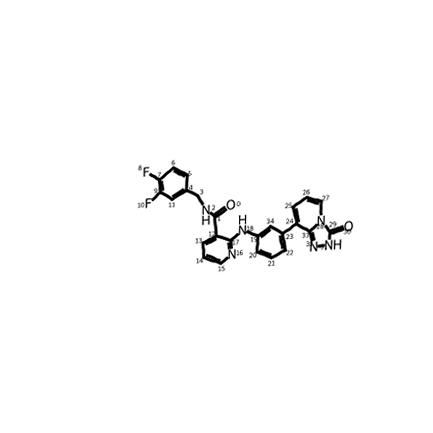 O=C(NCc1ccc(F)c(F)c1)c1cccnc1Nc1cccc(-c2cccn3c(=O)[nH]nc23)c1